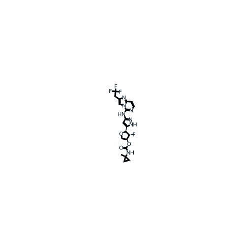 CC1(NC(=O)O[C@H]2CO[C@@H](c3cc(Nc4nccc5nc(CC(F)(F)F)cn45)n[nH]3)[C@H]2F)CC1